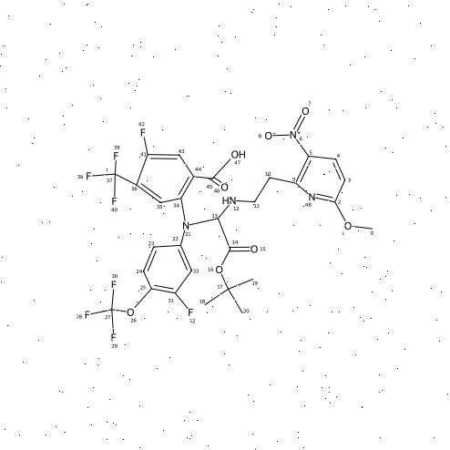 COc1ccc([N+](=O)[O-])c(CCNC(C(=O)OC(C)(C)C)N(c2ccc(OC(F)(F)F)c(F)c2)c2cc(C(F)(F)F)c(F)cc2C(=O)O)n1